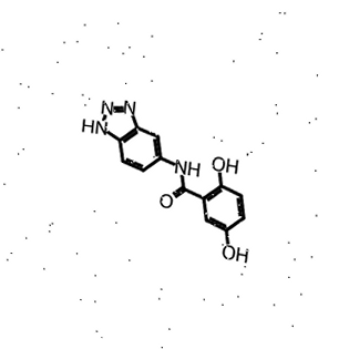 O=C(Nc1ccc2[nH]nnc2c1)c1cc(O)ccc1O